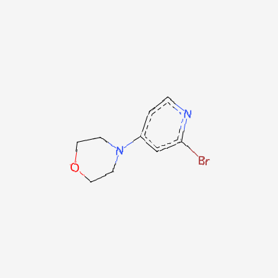 Brc1cc(N2CCOCC2)ccn1